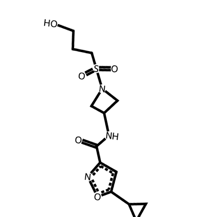 O=C(NC1CN(S(=O)(=O)CCCO)C1)c1cc(C2CC2)on1